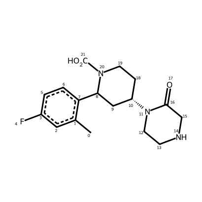 Cc1cc(F)ccc1C1C[C@@H](N2CCNCC2=O)CCN1C(=O)O